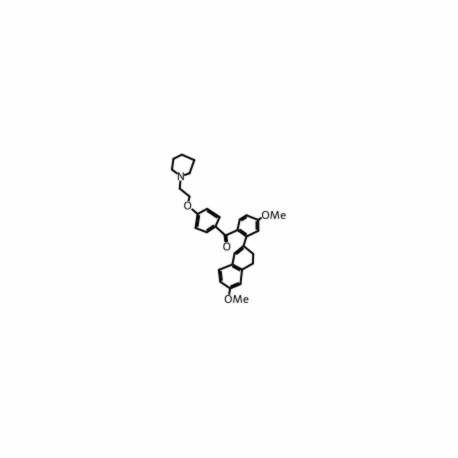 COc1ccc2c(c1)CCC(c1cc(OC)ccc1C(=O)c1ccc(OCCN3CCCCC3)cc1)=C2